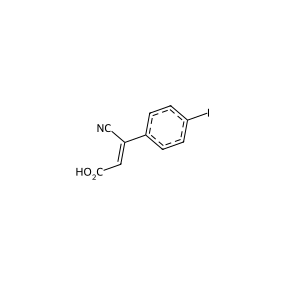 N#CC(=CC(=O)O)c1ccc(I)cc1